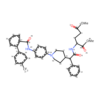 COC(=O)CCC(NC(=O)C(c1ccccc1)C1CCN(c2ccc(NC(=O)c3ccccc3-c3ccc(C(F)(F)F)cc3)cc2)CC1)C(=O)OC